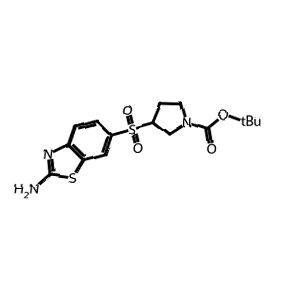 CC(C)(C)OC(=O)N1CCC(S(=O)(=O)c2ccc3nc(N)sc3c2)C1